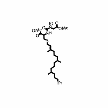 CCN(CC(=O)OC)C(=O)NC(CSC/C=C(\C)CCCC(C)CCCC(C)CCCC(C)C)C(=O)OC